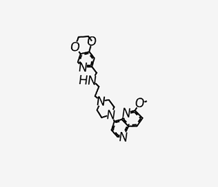 COc1ccc2nccc(N3CCN(CCNCc4cc5c(cn4)OCCO5)CC3)c2n1